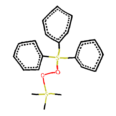 CS(C)(C)OOS(c1ccccc1)(c1ccccc1)c1ccccc1